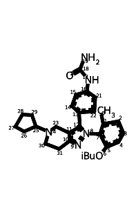 Cc1cccc(OCC(C)C)c1-n1nc2c(c1-c1ccc(NC(N)=O)cc1)CN(C1CCCC1)CC2